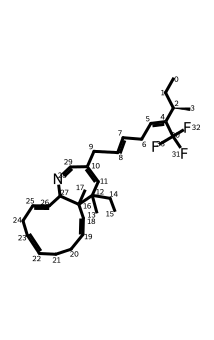 CC[C@@H](C)C(=CC/C=C/CC1=CC(C)(CC)C2(C)C=CCC/C=C\C/C=C/C2N=C1)C(F)(F)F